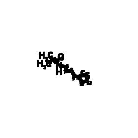 CN(C)C(=O)NCCCCC1CCSS1